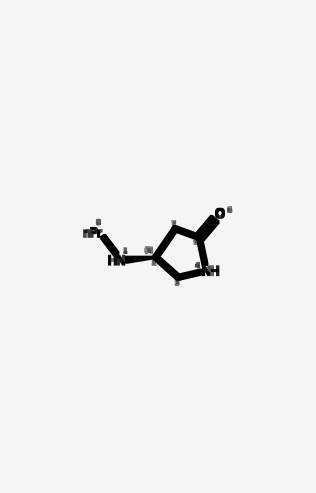 CCCN[C@@H]1CNC(=O)C1